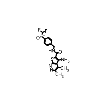 Cc1nnc2sc(C(=O)NCc3ccc([S+]([O-])C(F)F)cc3)c(N)c2c1C